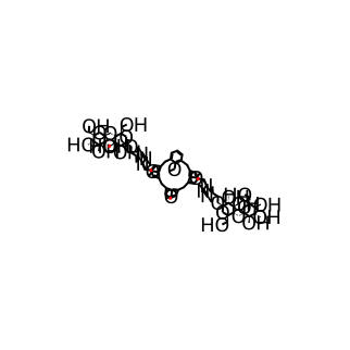 COc1c2cccc1Cc1cc(Cn3cc(CO[C@@H]4O[C@H](CO)[C@@H](O[C@@H]5O[C@H](CO)[C@@H](O)[C@H](O)[C@H]5O)[C@H](O)[C@H]4O)nn3)cc(c1OC)Cc1cccc(c1OC)Cc1cc(Cn3cc(CO[C@@H]4O[C@H](CO)[C@@H](O[C@@H]5O[C@H](CO)[C@@H](O)[C@H](O)[C@H]5O)[C@H](O)[C@H]4O)nn3)cc(c1OC)C2